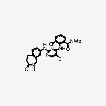 CNC(=O)c1cccc(Cl)c1Nc1nc(Nc2ccc3c(c2)CNC(=O)CC3)ncc1Cl